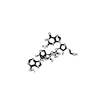 Nc1nc2c(ncn2[C@@H]2S[C@H](CCO)[C@H](F)[C@H]2OP(=O)(S)OC[C@@]23CO[C@@H]([C@H](n4cnc5c(N)ncnc54)O2)[C@@H]3O[PH](=O)S)c(=O)[nH]1